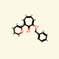 O=c1c(OCc2ccccc2)ccccc1C1=CCCCO1